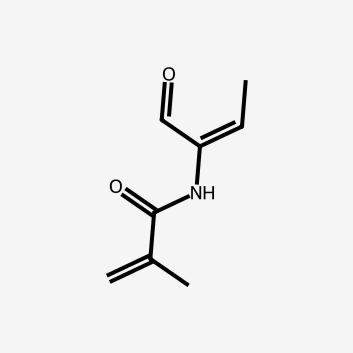 C=C(C)C(=O)NC(C=O)=CC